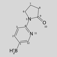 Bc1ccc(N2CCCC2=O)nc1